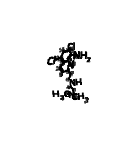 CN(C)CCNCCc1ccc2c(Cl)cc(Cl)c(N)c2n1